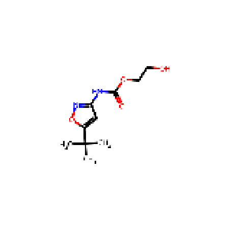 CC(C)(C)c1cc(NC(=O)OCCO)no1